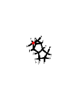 CC1(F)C(F)(F)C(F)(F)C2(F)C3(F)C(F)(F)C(F)(F)C(F)(C3(F)F)C12F